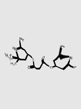 CC(C)C1CC(OC(=O)CC(=O)OC2CC(C(C)C)NC(C)(C)C2)CC(C(C)C)N1